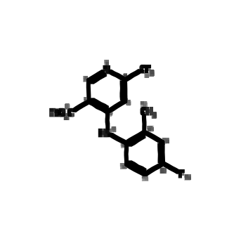 CCOC(=O)c1cnc(C(F)(F)F)cc1Nc1ccc(F)cc1C